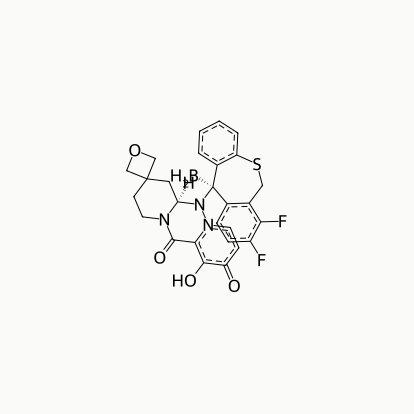 B[C@]1(N2[C@@H]3CC4(CCN3C(=O)c3c(O)c(=O)ccn32)COC4)c2ccccc2SCc2c1ccc(F)c2F